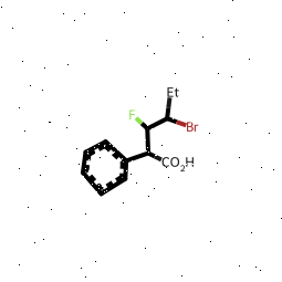 CCC(Br)C(F)C(C(=O)O)c1ccccc1